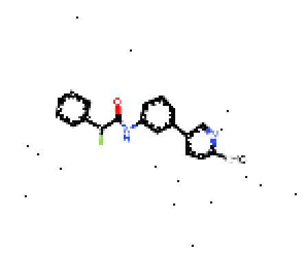 O=Cc1ccc(-c2cccc(NC(=O)C(F)c3ccccc3)c2)cn1